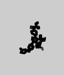 C=CC(=O)NC1CCC(n2nc(-c3ccc(OC4CCC(C)C4)cc3)c3c(N)n[nH]c(=O)c32)CC1